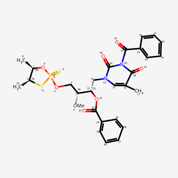 CO[C@H](COP1(=S)O[C@H](C)[C@H](C)S1)[C@H](Cn1cc(C)c(=O)n(C(=O)c2ccccc2)c1=O)OC(=O)c1ccccc1